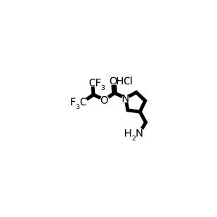 Cl.NCC1CCN(C(=O)OC(C(F)(F)F)C(F)(F)F)C1